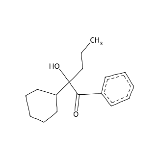 CCCC(O)(C(=O)c1ccccc1)C1CCCCC1